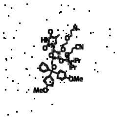 COc1ccc(C(OC[C@H]2O[C@@H](n3cc(C)c(=O)[nH]c3=O)[C@H](OCCOCCN(C)C)[C@@H]2OP(OCCC#N)N(C(C)C)C(C)C)(c2ccccc2)c2ccc(OC)cc2)cc1